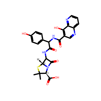 CC1(C)S[C@@H]2C(NC(=O)C(NC(=O)c3cnc4cccnc4c3O)c3ccc(O)cc3)C(=O)N2[C@H]1C(=O)O